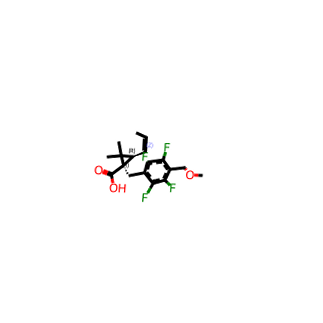 C/C=C\[C@@H]1C(C)(C)[C@]1(Cc1c(F)c(F)c(COC)c(F)c1F)C(=O)O